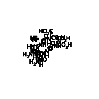 F.F.F.Nc1nc2c(c(=O)[nH]1)N=C(CNc1ccc(C(=O)NC(CCC(=O)O)C(=O)O)cc1)CN2.Nc1nc2c(c(=O)[nH]1)N=C(CNc1ccc(C(=O)NC(CCC(=O)O)C(=O)O)cc1)CN2